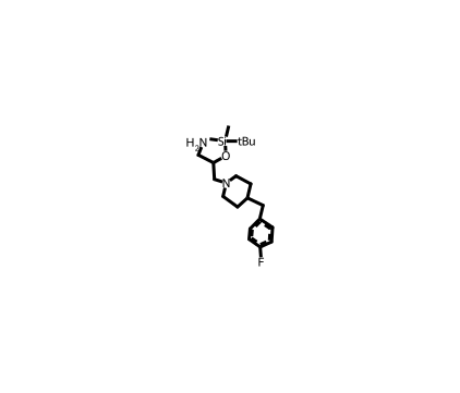 CC(C)(C)[Si](C)(C)OC(CN)CN1CCC(Cc2ccc(F)cc2)CC1